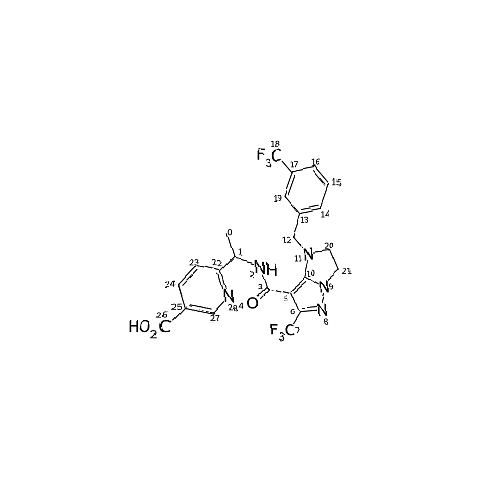 CC(NC(=O)c1c(C(F)(F)F)nn2c1N(Cc1cccc(C(F)(F)F)c1)CC2)c1ccc(C(=O)O)cn1